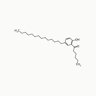 CCCCCCCCCCCCCCc1ccc(O)c(C(=O)CCCCC)c1